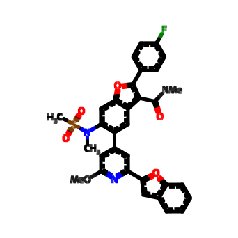 CNC(=O)c1c(-c2ccc(F)cc2)oc2cc(N(C)S(C)(=O)=O)c(-c3cc(OC)nc(-c4cc5ccccc5o4)c3)cc12